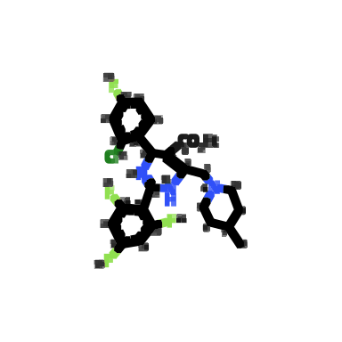 CCOC(=O)C1=C(CN2CCC(C)CC2)NC(c2c(F)cc(F)cc2F)=NC1c1ccc(F)cc1Cl